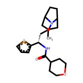 CC1CC2CCC(C1)N2CC[C@H](NC(=O)C1CCOCC1)c1cccs1